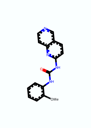 COc1ccccc1NC(=O)Nc1ccc2cnccc2n1